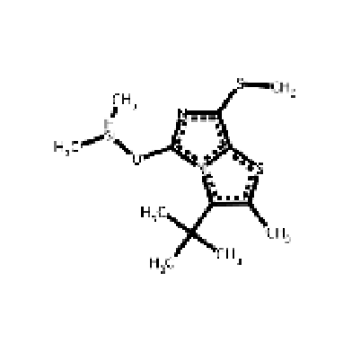 CSc1nc(O[SiH](C)C)n2c(C(C)(C)C)c(C)sc12